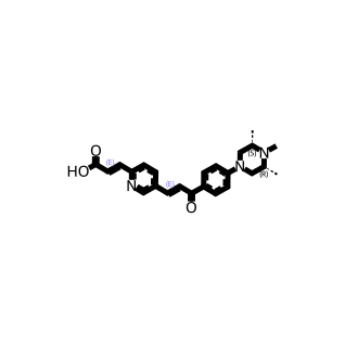 C[C@@H]1CN(c2ccc(C(=O)/C=C/c3ccc(/C=C/C(=O)O)nc3)cc2)C[C@H](C)N1C